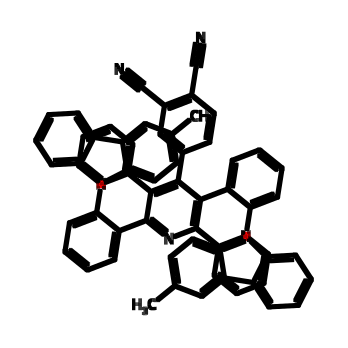 Cc1ccc2c(c1)c1ccccc1n2-c1ccccc1-c1nc(-c2ccccc2)c(-c2ccccc2-n2c3ccccc3c3cc(C)ccc32)c(-c2ccc(C#N)c(C#N)c2)c1-c1ccccc1